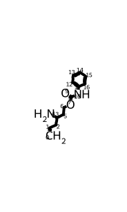 C=CCC(N)CCOC(=O)Nc1ccccc1